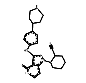 N#CC1CCCCC1n1nc(Nc2ccc(C3CCNCC3)cc2)c2c(=O)[nH]ccc21